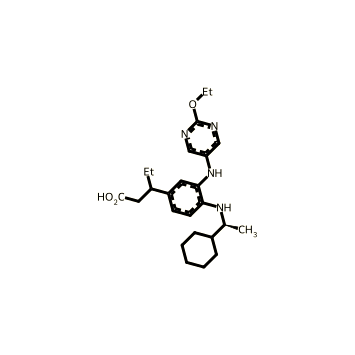 CCOc1ncc(Nc2cc(C(CC)CC(=O)O)ccc2N[C@@H](C)C2CCCCC2)cn1